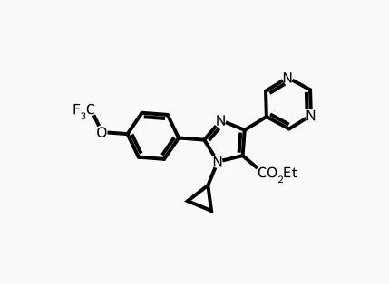 CCOC(=O)c1c(-c2cncnc2)nc(-c2ccc(OC(F)(F)F)cc2)n1C1CC1